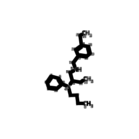 CCCCN(c1ccccc1)C(CC)CNCc1cccc(CC)c1